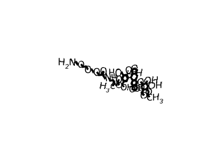 CC1OCC2OC(Oc3c4c(cc5c3OCO5)[C@@H](c3cc(CO)c(OC(=O)N(C)CCNCC(=O)COCCOCCOCCN)c(CO)c3)[C@H]3C(=O)OC[C@@H]3C4)C(O)C(O)C2O1